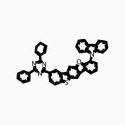 C1=CC(c2nc(-c3ccccc3)nc(-c3ccc4sc5cc6c(cc5c4c3)oc3c(-n4c5ccccc5c5ccccc54)cccc36)n2)=CCC1